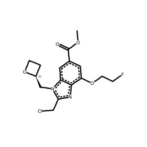 COC(=O)c1cc(OCCF)c2nc(CCl)n(C[C@@H]3CCO3)c2c1